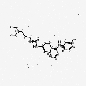 CCN(CC)CCCNC(=O)Nc1ccc2c(Nc3cccc(C)c3)ncnc2c1